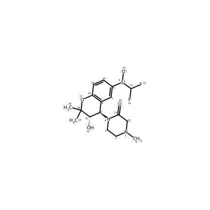 CN1CCN([C@@H]2c3cc([S+]([O-])C(F)F)ccc3OC(C)(C)[C@H]2O)C(=O)C1